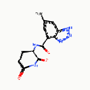 O=C1CCC(NC(=O)c2cc([N+](=O)[O-])cc3[nH]nnc23)C(=O)N1